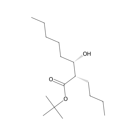 CCCCC[C@H](O)[C@H](CCCC)C(=O)OC(C)(C)C